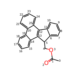 CC(=O)OCC1c2ccccc2-c2c1c1ccccc1c1ccccc21